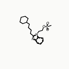 CS(=O)(=O)OCCn1c(CCCCC2CCCCC2)nc2ccccc21